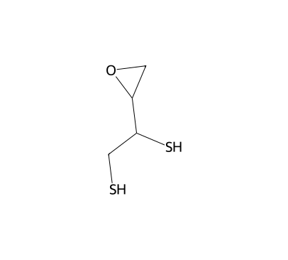 SCC(S)C1CO1